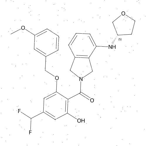 COc1cccc(COc2cc(C(F)F)cc(O)c2C(=O)N2Cc3cccc(N[C@H]4CCOC4)c3C2)c1